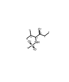 CCC(=O)C(NS(C)(=O)=O)C(C)C